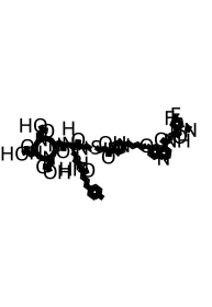 Cc1ccc(CCCC(=O)NCCSC[C@H](NC(=O)CN2CCN(CC(=O)O)CCN(CC(=O)O)CCN(CC(=O)O)CC2)C(=O)NCCSC[C@@H](O)C(=O)N2CCN(CCCCOc3ccc4nccc(C(=O)NCC(=O)N5CC(F)(F)C[C@@H]5C#N)c4c3)CC2)cc1